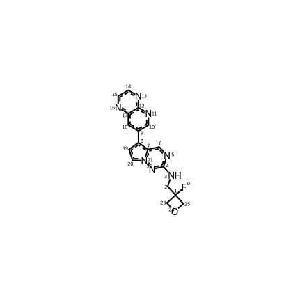 FC1(CNc2ncc3c(-c4cnc5nccnc5c4)ccn3n2)COC1